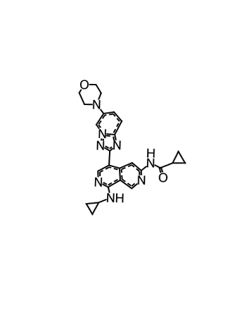 O=C(Nc1cc2c(-c3nc4ccc(N5CCOCC5)cn4n3)cnc(NC3CC3)c2cn1)C1CC1